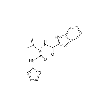 C=C(C)[C@H](NC(=O)c1cc2ccccc2[nH]1)C(=O)Nc1nccs1